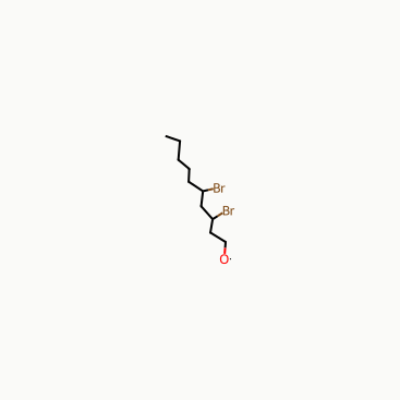 CCCCCC(Br)CC(Br)CC[O]